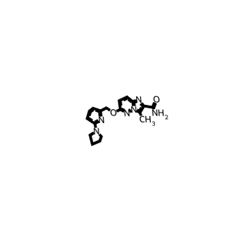 Cc1c(C(N)=O)nc2ccc(OCc3cccc(N4CCCC4)n3)nn12